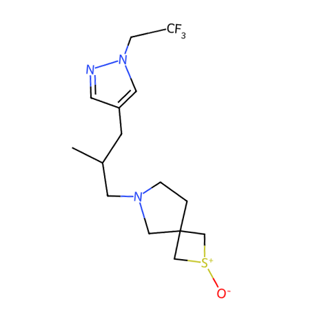 CC(Cc1cnn(CC(F)(F)F)c1)CN1CCC2(C1)C[S+]([O-])C2